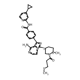 CSCCC(=O)N1C[C@@H](c2nc(-c3ccc(C(=O)Nc4cc(C5CC5)ccn4)cc3)c3c(N)nccn23)CC[C@H]1C